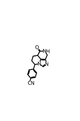 N#Cc1ccc(C2CCC3C(=O)NCc4ncn2c43)cc1